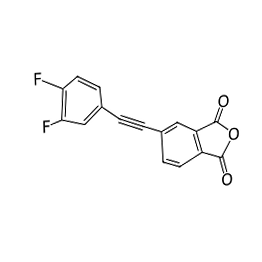 O=C1OC(=O)c2cc(C#Cc3ccc(F)c(F)c3)ccc21